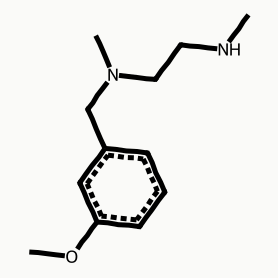 CNCCN(C)Cc1cccc(OC)c1